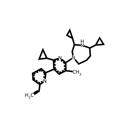 C=Cc1cccc(-c2cc(C)c(N3CCCC(C4CC4)NC(C4CC4)C3)nc2C2CC2)n1